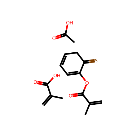 C=C(C)C(=O)O.C=C(C)C(=O)OC1=CC=CCC1=S.CC(=O)O